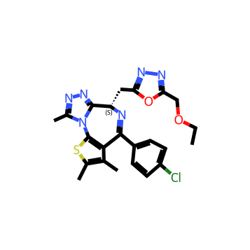 CCOCc1nnc(C[C@@H]2N=C(c3ccc(Cl)cc3)c3c(sc(C)c3C)-n3c(C)nnc32)o1